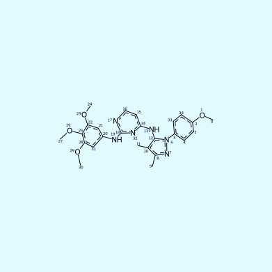 COc1ccc(-n2nc(C)c(C)c2Nc2ccnc(Nc3cc(OC)c(OC)c(OC)c3)n2)cc1